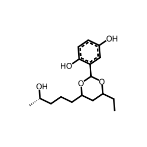 CCC1CC(CCC[C@H](C)O)OC(c2cc(O)ccc2O)O1